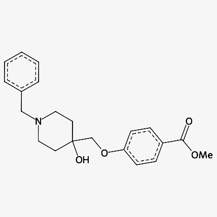 COC(=O)c1ccc(OCC2(O)CCN(Cc3ccccc3)CC2)cc1